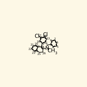 CN(Cc1ccccc1)C1=C(c2ccc(Cl)c(Cl)c2)c2ccccc2CC1